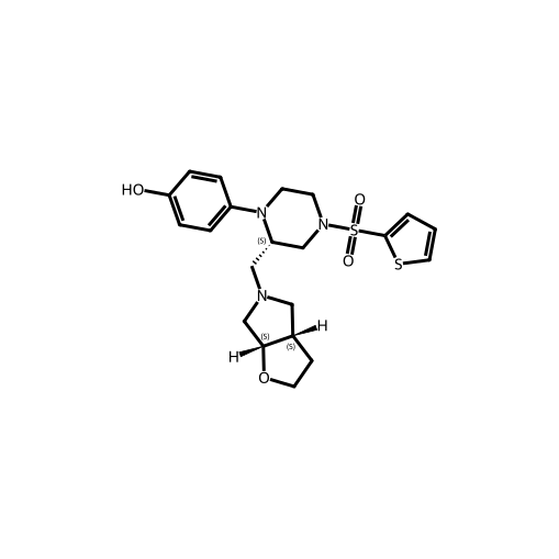 O=S(=O)(c1cccs1)N1CCN(c2ccc(O)cc2)[C@@H](CN2C[C@@H]3CCO[C@@H]3C2)C1